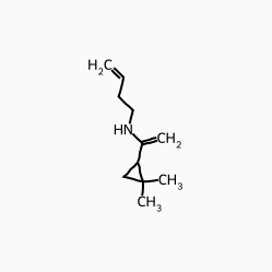 C=CCCNC(=C)C1CC1(C)C